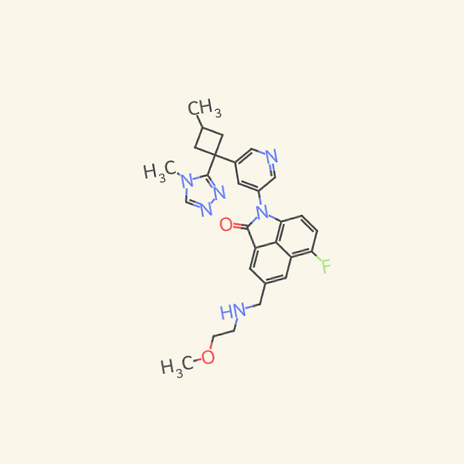 COCCNCc1cc2c3c(ccc(F)c3c1)N(c1cncc(C3(c4nncn4C)CC(C)C3)c1)C2=O